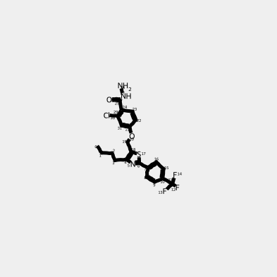 CCCCc1nc(-c2ccc(C(F)(F)F)cc2)sc1COc1ccc(C(=O)NN)c(Cl)c1